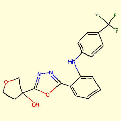 OC1(c2nnc(-c3ccccc3Nc3ccc(C(F)(F)F)cc3)o2)CCOC1